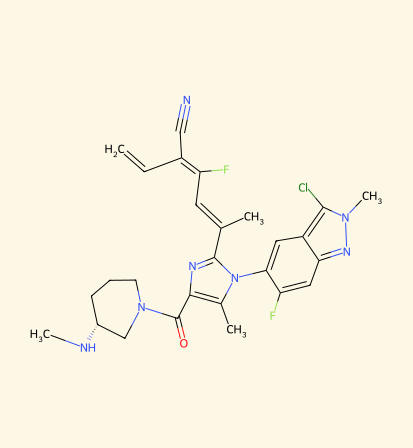 C=C/C(C#N)=C(F)\C=C(/C)c1nc(C(=O)N2CCC[C@@H](NC)C2)c(C)n1-c1cc2c(Cl)n(C)nc2cc1F